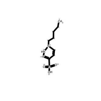 CCCCCN1C=CC(S(=O)(=O)O)=NN1